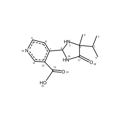 CC(C)C1(C)NC(c2ccncc2C(=O)O)NC1=O